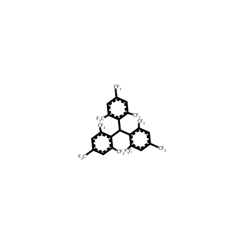 FC(F)(F)c1cc(C(F)(F)F)c([C](c2c(C(F)(F)F)cc(C(F)(F)F)cc2C(F)(F)F)c2c(C(F)(F)F)cc(C(F)(F)F)cc2C(F)(F)F)c(C(F)(F)F)c1